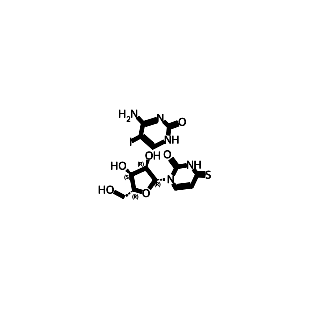 Nc1nc(=O)[nH]cc1I.O=c1[nH]c(=S)ccn1[C@@H]1O[C@H](CO)[C@@H](O)[C@H]1O